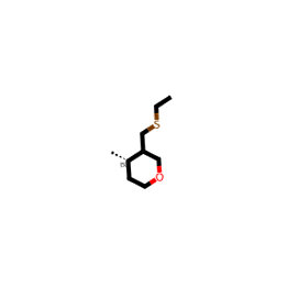 CCSCC1COCC[C@@H]1C